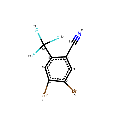 N#Cc1cc(Br)c(Br)cc1C(F)(F)F